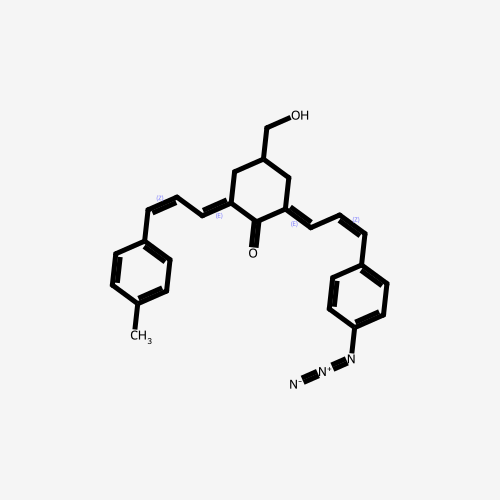 Cc1ccc(/C=C\C=C2/CC(CO)C/C(=C\C=C/c3ccc(N=[N+]=[N-])cc3)C2=O)cc1